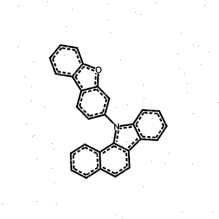 c1ccc2c(c1)ccc1c3ccccc3n(-c3ccc4c(c3)oc3ccccc34)c21